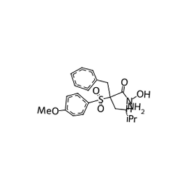 COc1ccc(S(=O)(=O)C(Cc2ccccc2)(CC(N)C(C)C)C(=O)NO)cc1